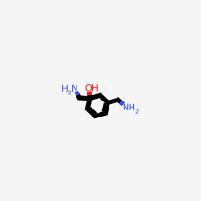 NCC1=CC=CC(O)(CN)C1